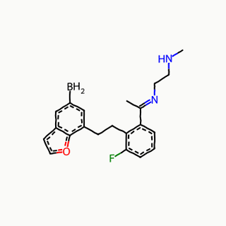 Bc1cc(CCc2c(F)cccc2/C(C)=N/CCNC)c2occc2c1